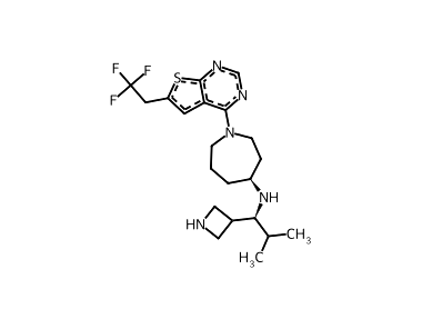 CC(C)[C@H](N[C@H]1CCCN(c2ncnc3sc(CC(F)(F)F)cc23)CC1)C1CNC1